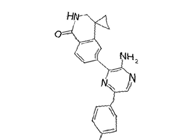 Nc1ncc(-c2ccc(F)cc2)nc1-c1ccc2c(c1)C1(CC1)CNC2=O